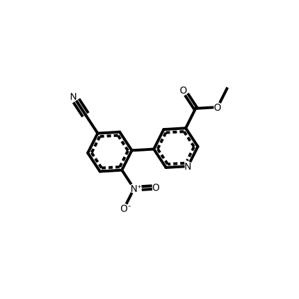 COC(=O)c1cncc(-c2cc(C#N)ccc2[N+](=O)[O-])c1